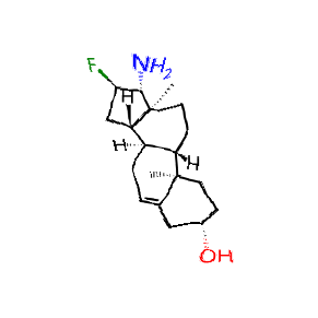 C[C@]12CC[C@H]3[C@@H](CC=C4C[C@@H](O)CC[C@@]43C)[C@@H]1C[C@@H](F)[C@@H]2N